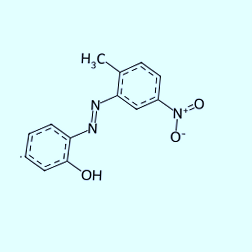 Cc1ccc([N+](=O)[O-])cc1N=Nc1cc[c]cc1O